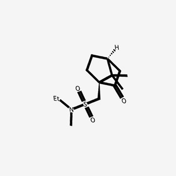 CCN(C)S(=O)(=O)C[C@]12CC[C@@H](CC1=O)C2(C)C